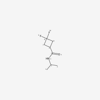 CC(C)NC(=O)C1CC(F)(F)C1